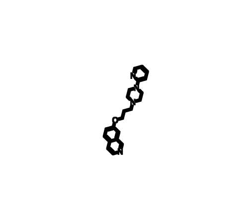 c1ccc(N2CCN(CCCOc3ccc4ccncc4c3)CC2)nc1